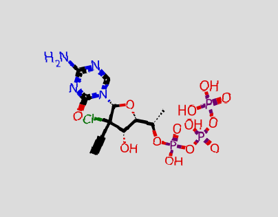 C#CC1(Cl)[C@@H](O)[C@@H]([C@H](C)OP(=O)(O)OP(=O)(O)OP(=O)(O)O)O[C@H]1n1cnc(N)nc1=O